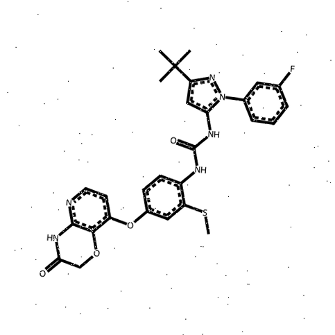 CSc1cc(Oc2ccnc3c2OCC(=O)N3)ccc1NC(=O)Nc1cc(C(C)(C)C)nn1-c1cccc(F)c1